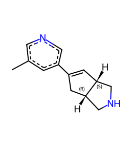 Cc1cncc(C2=C[C@@H]3CNC[C@@H]3C2)c1